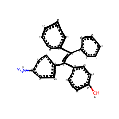 Nc1ccc(C(=C(c2ccccc2)c2ccccc2)c2ccc(O)cc2)cc1